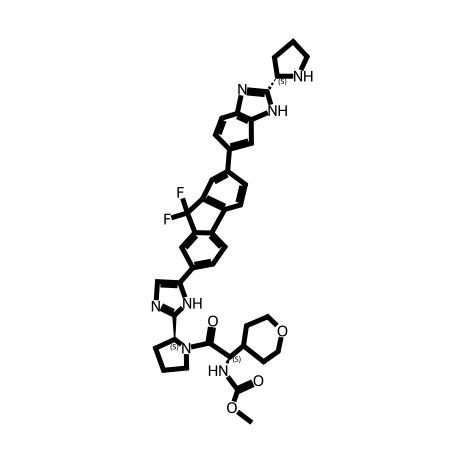 COC(=O)N[C@H](C(=O)N1CCC[C@H]1c1ncc(-c2ccc3c(c2)C(F)(F)c2cc(-c4ccc5nc([C@@H]6CCCN6)[nH]c5c4)ccc2-3)[nH]1)C1CCOCC1